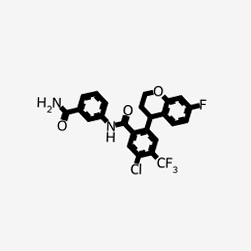 NC(=O)c1cccc(NC(=O)c2cc(Cl)c(C(F)(F)F)cc2C2CCOc3cc(F)ccc32)c1